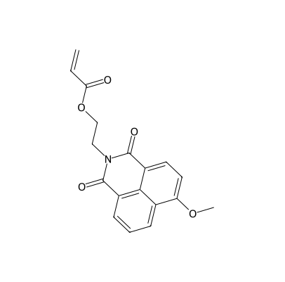 C=CC(=O)OCCN1C(=O)c2cccc3c(OC)ccc(c23)C1=O